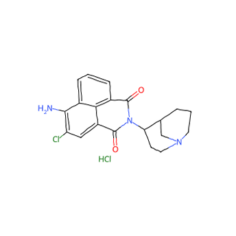 Cl.Nc1c(Cl)cc2c3c(cccc13)C(=O)N(C1CCN3CCCC1C3)C2=O